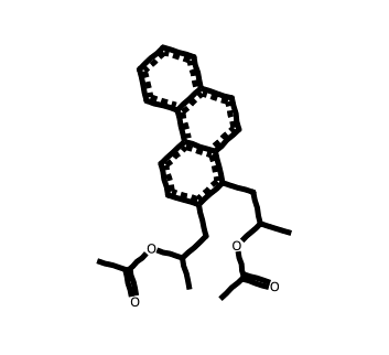 CC(=O)OC(C)Cc1ccc2c(ccc3ccccc32)c1CC(C)OC(C)=O